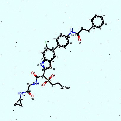 COCCS(=O)(=O)C(C(=O)NCC(=O)NC1CC1)c1nc2cc(F)c(-c3ccc(NC(=O)CCc4ccccc4)cc3)cc2s1